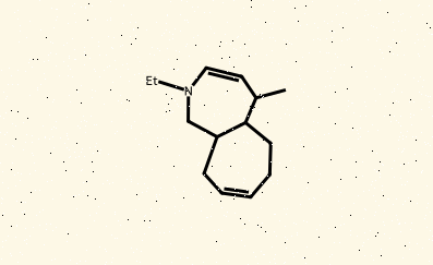 CCN1C=CC(C)C2CCC=CCC2C1